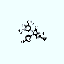 Cc1cc(N2C(=O)c3[nH]c(C4CC4)nc3[C@H]2c2ccc(Cl)cc2)cn(C)c1=O